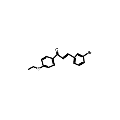 CCSc1ccc(C(=O)C=Cc2cccc(Br)c2)cc1